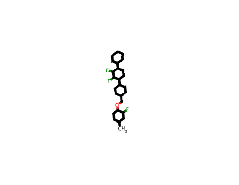 CC1CCC(OCC2CCC(C3CCC(C4CCCCC4)C(F)C3F)CC2)C(F)C1